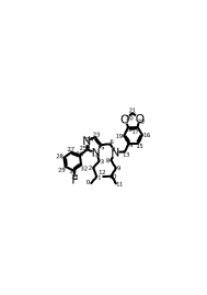 CCCCn1c(CN(CCC(C)C)Cc2ccc3c(c2)OCO3)cnc1-c1cccc(F)c1